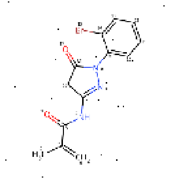 C=C(C)C(=O)NC1=NN(c2ccccc2Br)C(=O)C1